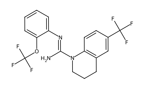 NC(=Nc1ccccc1OC(F)(F)F)N1CCCc2cc(C(F)(F)F)ccc21